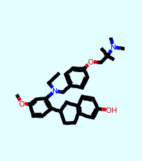 CCN(Cc1ccc(OCC(C)(C)N(C)C)cc1)c1cc(OC)ccc1C1CCc2cc(O)ccc2C1